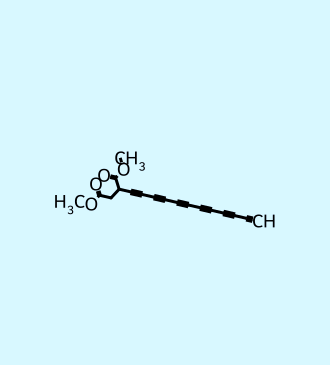 C#CC#CC#CC#CC#CC#CC(CC(=O)OC)C(=O)OC